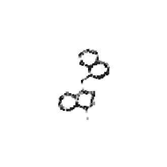 Cc1cnc(Cc2cccc3ccccc23)c2ccccc12